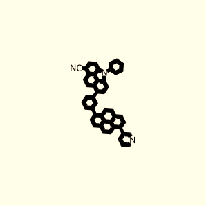 N#Cc1ccc2c3c1ccc1c(-c4cccc(-c5ccc6ccc7c(-c8cccnc8)ccc8ccc5c6c87)c4)ccc(c13)n2-c1ccccc1